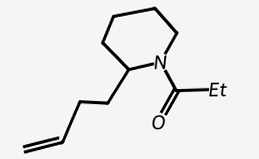 C=CCCC1CCCCN1C(=O)CC